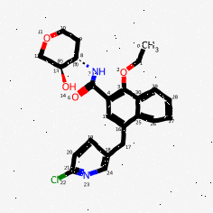 CCOc1c(C(=O)N[C@H]2CCOC[C@@H]2O)cc(Cc2ccc(Cl)nc2)c2ccccc12